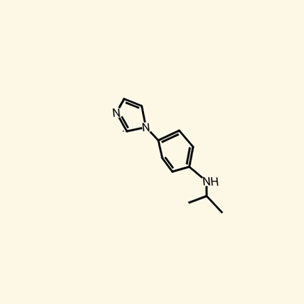 CC(C)Nc1ccc(-n2[c]ncc2)cc1